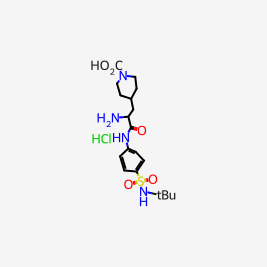 CC(C)(C)NS(=O)(=O)c1ccc(NC(=O)C(N)CC2CCN(C(=O)O)CC2)cc1.Cl